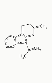 C=C1C=c2c(c3ccccc3n2C(=C)C)=CC1